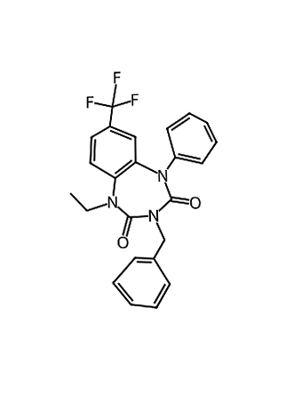 CCN1C(=O)N(Cc2ccccc2)C(=O)N(c2ccccc2)c2cc(C(F)(F)F)ccc21